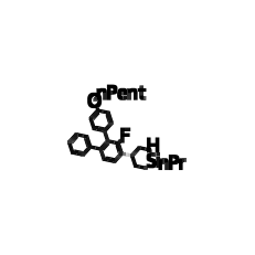 CCCCCOc1ccc(-c2c(-c3ccccc3)ccc([C@H]3CC[Si@H](CCC)CC3)c2F)cc1